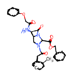 Cc1ccccc1CC(=O)N1CC2[C@@H](NC(=O)COc3ccccc3)C(=O)N2C1C(=O)OCc1ccccc1